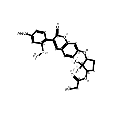 COc1ccc(-c2cc3ccc(OC4CCC(OC(=O)CC(C)C)C4(C)C(F)(F)F)cc3oc2=O)c(OC(F)(F)F)c1